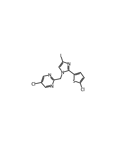 Clc1cnc(Cn2cc(I)nc2-c2ccc(Cl)s2)nc1